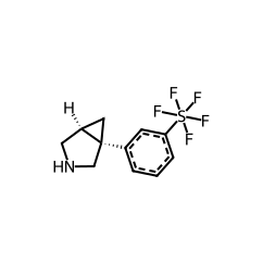 FS(F)(F)(F)(F)c1cccc([C@]23CNC[C@H]2C3)c1